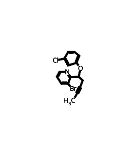 CC#CCC(Oc1cccc(Cl)c1)c1ncccc1Br